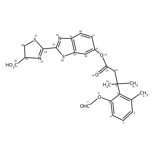 Cc1cccc(OC=O)c1C(C)(C)CC(=O)Oc1ccc2nc(C3=NC(C(=O)O)CS3)sc2c1